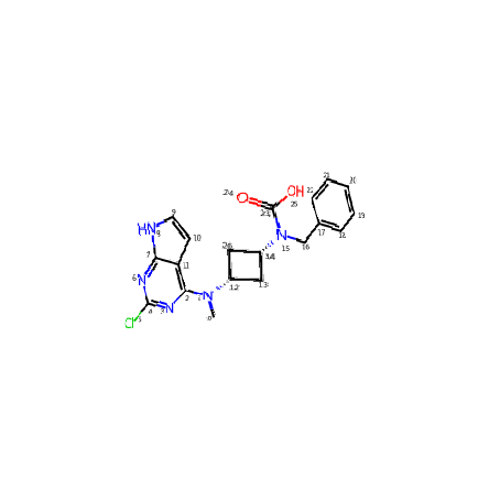 CN(c1nc(Cl)nc2[nH]ccc12)[C@H]1C[C@@H](N(Cc2ccccc2)C(=O)O)C1